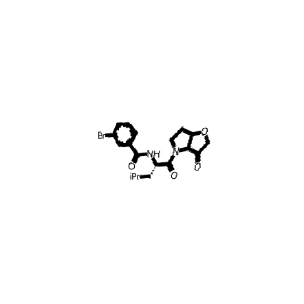 CC(C)C[C@H](NC(=O)c1cccc(Br)c1)C(=O)N1CCC2OCC(=O)C21